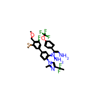 COCc1c(F)cc(-c2ccc(-n3cc(C(C)(F)F)nc3C)c(N(N)/C(=C\N)c3ccc(OC(F)(F)F)cc3)c2)cc1SC